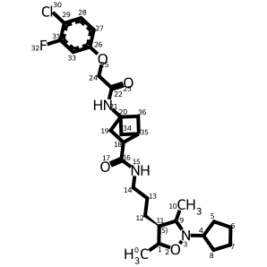 CC1ON(C2CCCC2)C(C)[C@@H]1CCCNC(=O)C1CC2(NC(=O)COc3ccc(Cl)c(F)c3)CC1C2